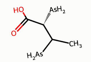 CC([AsH2])[C@@H]([AsH2])C(=O)O